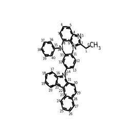 CCc1nc2cccc3c2n1-c1ccc(-n2c4ccccc4c4c5ccccc5ccc42)cc1N3c1ccccc1